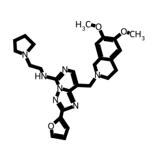 COc1cc2c(cc1OC)CN(Cc1cnc(NCCN3CCCC3)n3nc(-c4ccco4)nc13)CC2